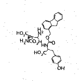 CC(C)C(N)C(=O)O.NCC(=O)O.O=C(NC(Cc1ccc(O)cc1)C(=O)O)OCc1cccc2c1Cc1ccccc1-2